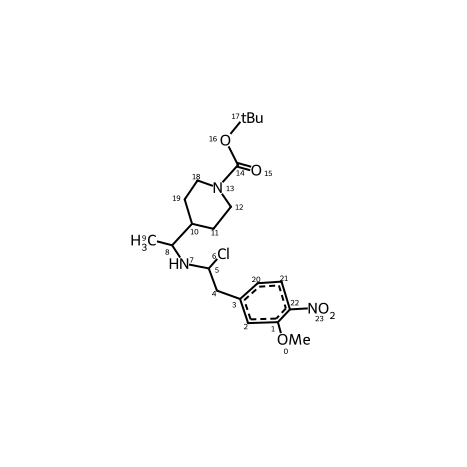 COc1cc(CC(Cl)NC(C)C2CCN(C(=O)OC(C)(C)C)CC2)ccc1[N+](=O)[O-]